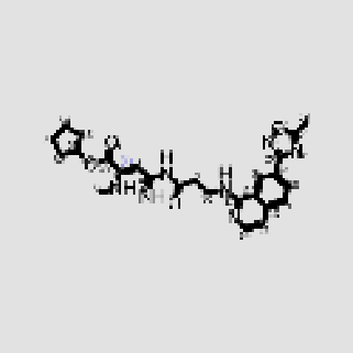 CN/C(=C\C(=N)NC(=O)CCNc1nccc2ccc(-c3noc(C)n3)cc12)C(=O)OC1CCCC1